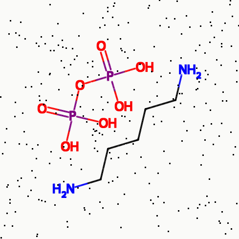 NCCCCCN.O=P(O)(O)OP(=O)(O)O